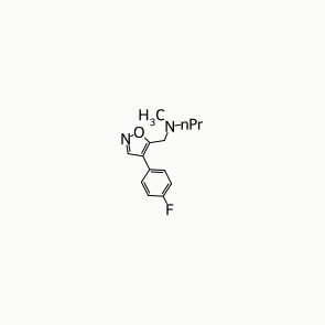 CCCN(C)Cc1oncc1-c1ccc(F)cc1